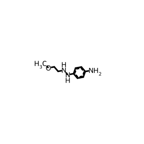 COCCNNc1ccc(N)cc1